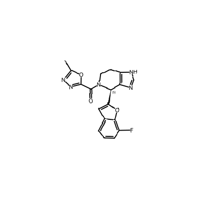 Cc1nnc(C(=O)N2CCc3[nH]cnc3[C@H]2c2cc3cccc(F)c3o2)o1